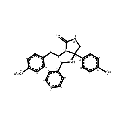 COc1ccc(CCN2C(=O)NCC2(NCc2ccncc2)c2ccc(C(C)(C)C)cc2)cc1